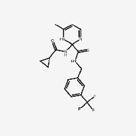 CC1=CC=NC(NC(=O)C2CC2)(C(=O)NCc2cccc(C(F)(F)F)c2)N1